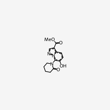 COC(=O)c1cnn2c(N3CCCCC3=O)c(O)ccc12